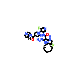 Nc1nn2c(c1C(=O)Nc1cncc(F)c1N1CCC(C(=O)N3CCN4CC[C@@H]3C4)CC1)NCC(F)C21CCCCCCCCC1